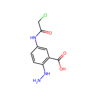 NNc1ccc(NC(=O)CCl)cc1C(=O)O